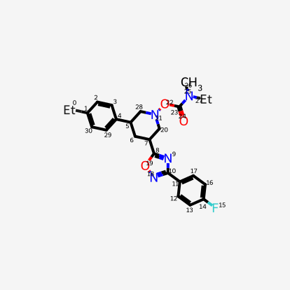 CCc1ccc(C2CC(c3nc(-c4ccc(F)cc4)no3)CN(OC(=O)N(C)CC)C2)cc1